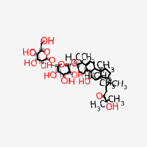 CC(CCC(=O)C(C)(C)O)[C@H]1CC[C@@]2(C)C3CC=C4[C@@H](CC[C@H](O[C@@H]5O[C@H](CO[C@@H]6O[C@H](CO)[C@@H](O)[C@H](O)[C@H]6O)[C@@H](O)[C@H](O)[C@H]5O)C4(C)C)[C@]3(C)[C@H](O)C[C@]12C